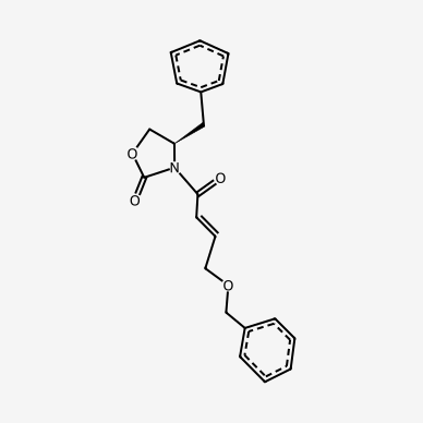 O=C(C=CCOCc1ccccc1)N1C(=O)OC[C@H]1Cc1ccccc1